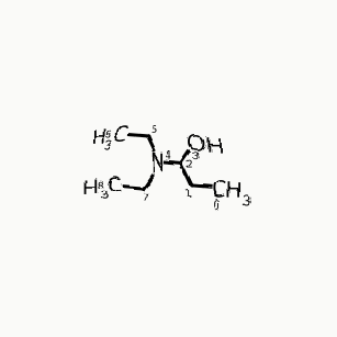 CC[C](O)N(CC)CC